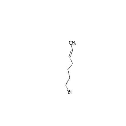 N#CC=CCCCCBr